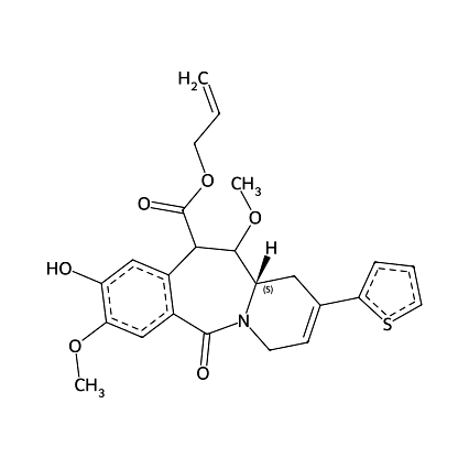 C=CCOC(=O)C1c2cc(O)c(OC)cc2C(=O)N2CC=C(c3cccs3)C[C@H]2C1OC